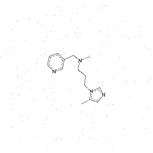 Cc1cncn1CCCN(C)Cc1cccnc1